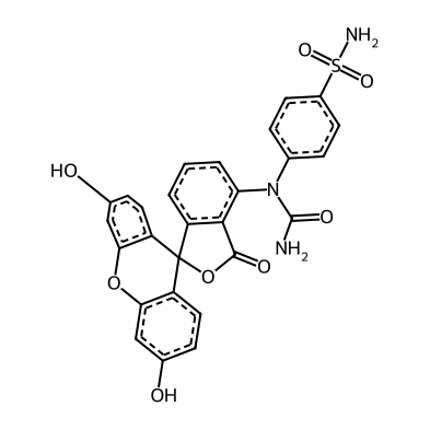 NC(=O)N(c1ccc(S(N)(=O)=O)cc1)c1cccc2c1C(=O)OC21c2ccc(O)cc2Oc2cc(O)ccc21